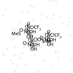 CC(O)N(CO)c1nc(-c2ccccc2)c2ccc(=O)n(-c3ccc(C(F)(F)F)cc3)c2n1.CSc1cccc(-c2nc(N(CO)C(C)O)nc3c2ccc(=O)n3-c2ccc(C(F)(F)F)cc2)c1.CSc1ccccc1-c1nc(N(CO)C(C)O)nc2c1ccc(=O)n2-c1ccc(C(F)(F)F)cc1